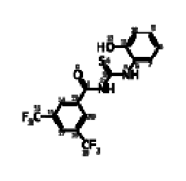 O=C(NC(=S)Nc1ccccc1O)c1cc(C(F)(F)F)cc(C(F)(F)F)c1